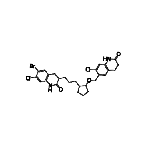 O=C1CCc2cc(COC3CCCC3CCCC3Cc4cc(Br)c(Cl)cc4NC3=O)c(Cl)cc2N1